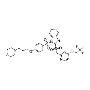 Cc1c(OCC(F)(F)F)ccnc1CS(=O)(=O)c1nc2ccccc2n1S(=O)(=O)c1ccc(OCCCN2CCOCC2)cc1